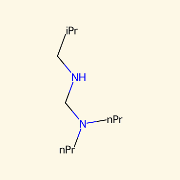 CCCN(CCC)CNCC(C)C